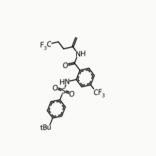 C=C(CCC(F)(F)F)NC(=O)c1ccc(C(F)(F)F)cc1NS(=O)(=O)c1ccc(C(C)(C)C)cc1